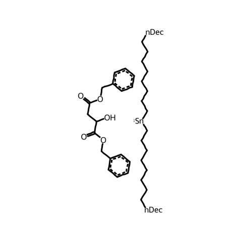 CCCCCCCCCCCCCCCCC[CH2][Sn][CH2]CCCCCCCCCCCCCCCCC.O=C(CC(O)C(=O)OCc1ccccc1)OCc1ccccc1